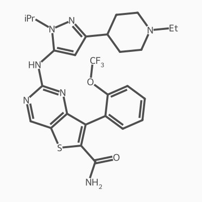 CCN1CCC(c2cc(Nc3ncc4sc(C(N)=O)c(-c5ccccc5OC(F)(F)F)c4n3)n(C(C)C)n2)CC1